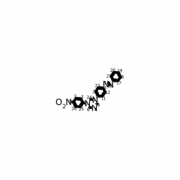 O=[N+]([O-])c1ccc(N2CN=CN(c3ccc(N=Nc4ccccc4)cc3)C2)cc1